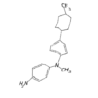 CN(c1ccc(N)cc1)c1ccc(C2CCC(C(F)(F)F)CC2)cc1